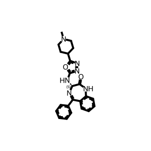 CN1CCC(c2nnc(N[C@H]3N=C(c4ccccc4)c4ccccc4NC3=O)o2)CC1